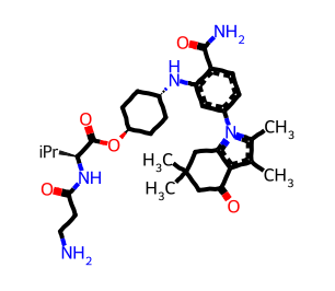 Cc1c2c(n(-c3ccc(C(N)=O)c(N[C@H]4CC[C@H](OC(=O)[C@@H](NC(=O)CCN)C(C)C)CC4)c3)c1C)CC(C)(C)CC2=O